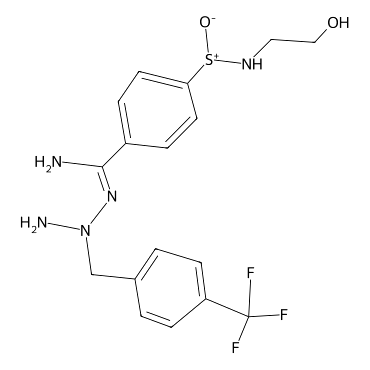 N/C(=N\N(N)Cc1ccc(C(F)(F)F)cc1)c1ccc([S+]([O-])NCCO)cc1